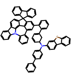 C1=CC(N(c2ccc(-c3ccccc3)cc2)c2ccc3c(c2)sc2ccccc23)CC(c2ccccc2-c2cc3c4c(c2)C2(c5ccccc5-c5ccccc52)c2ccc5c6ccccc6n(c5c2-4)-c2ccccc2-3)=C1